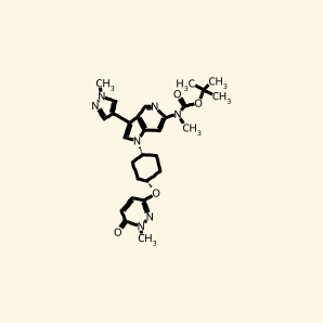 CN(C(=O)OC(C)(C)C)c1cc2c(cn1)c(-c1cnn(C)c1)cn2[C@H]1CC[C@@H](Oc2ccc(=O)n(C)n2)CC1